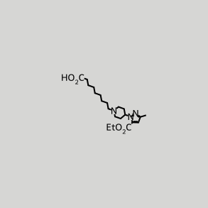 CCOC(=O)c1cc(C)nn1C1CCN(CCCCCCCCC(=O)O)CC1